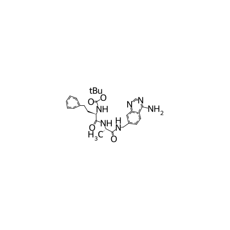 C[C@H](NC(=O)[C@@H](CCc1ccccc1)NC(=O)OC(C)(C)C)C(=O)NCc1ccc2c(N)ncnc2c1